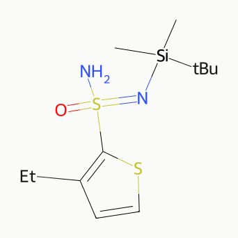 CCc1ccsc1S(N)(=O)=N[Si](C)(C)C(C)(C)C